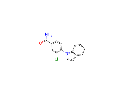 NC(=O)c1ccc(-n2ccc3ccccc32)c(Cl)c1